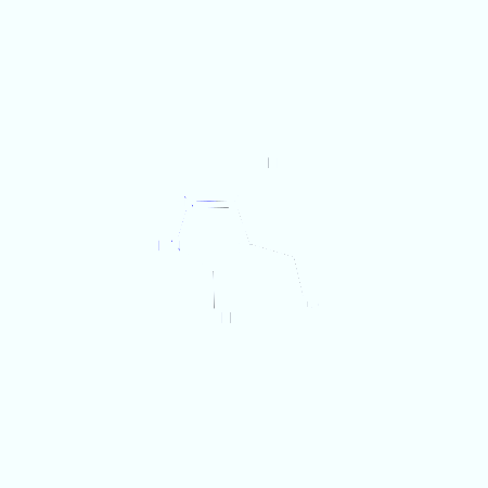 [CH2]CCCCc1c(C)n[nH]c1C